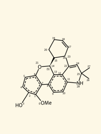 COc1c(O)ccc2c1-c1ccc3c(c1[C@H](C1CC=CCC1)O2)C(C)=CC(C)(C)N3